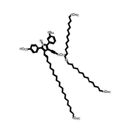 CCCCCCCCC#CC1=C(c2cccc(CCCC)c2)[N+](=[N-])C(c2ccc(CCCCCCCC)cc2)=C1C=CCCCCCCCCCCCCCCCCCCCCCCCCCCCC.CCCCCCCCCCCCCCCCCCCCCC[CH2][Ni][CH2]CCCCCCCCCCCCCCCCCCCCCC